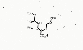 CCCCOCOC(C(=O)O)[C@H](CC(C)C)NC(=O)OC(C)(C)C